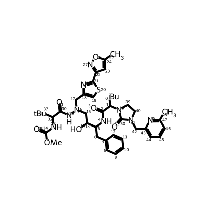 CCC(C)C(C(=O)NC(Cc1ccccc1)C(O)CN(Cc1csc(-c2cc(C)on2)n1)NC(=O)C(NC(=O)OC)C(C)(C)C)N1CCN(Cc2cccc(C)n2)C1=O